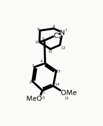 COc1ccc(C2CN3CCC2CC3)cc1OC